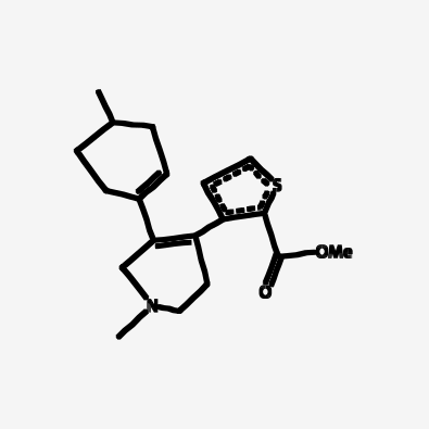 COC(=O)c1sccc1C1=C(C2=CCC(C)CC2)CN(C)CC1